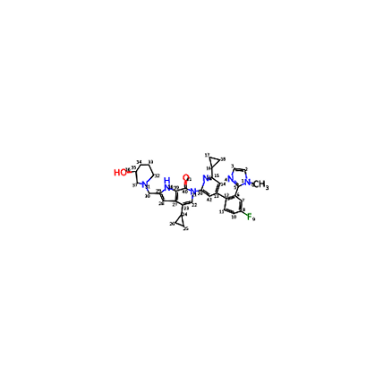 Cn1ccnc1-c1cc(F)ccc1-c1cc(C2CC2)nc(-n2cc(C3CC3)c3cc(CN4CCC[C@H](O)C4)[nH]c3c2=O)c1